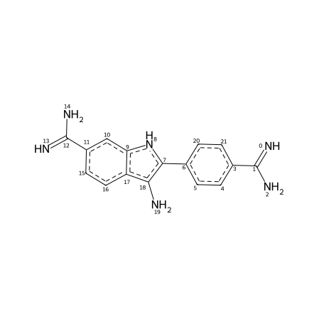 N=C(N)c1ccc(-c2[nH]c3cc(C(=N)N)ccc3c2N)cc1